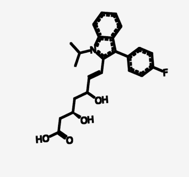 CC(C)n1c(/C=C/C(O)C[C@@H](O)CC(=O)O)c(-c2ccc(F)cc2)c2ccccc21